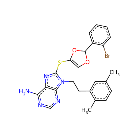 Cc1ccc(C)c(CCn2c(SC3=COC(c4ccccc4Br)O3)nc3c(N)ncnc32)c1